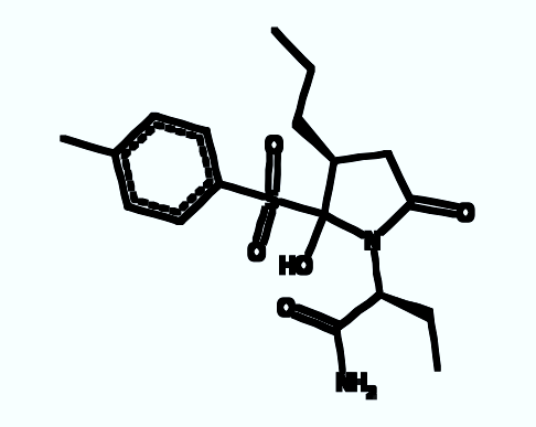 CCC[C@H]1CC(=O)N([C@@H](CC)C(N)=O)C1(O)S(=O)(=O)c1ccc(C)cc1